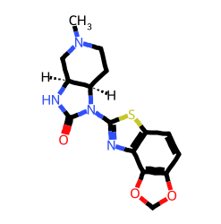 CN1CC[C@@H]2[C@H](C1)NC(=O)N2c1nc2c3c(ccc2s1)OCO3